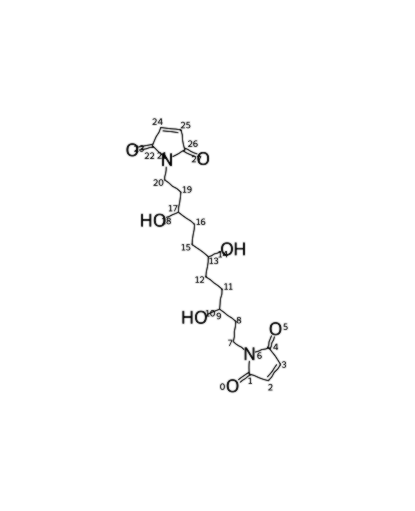 O=C1C=CC(=O)N1CCC(O)CCC(O)CCC(O)CCN1C(=O)C=CC1=O